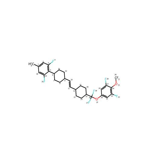 Cc1cc(F)c(C2CCC(/C=C/C3CCC(C(F)(F)Oc4cc(F)c(OC(F)(F)F)c(F)c4)CC3)CC2)c(F)c1